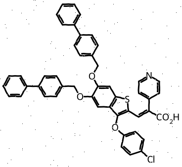 O=C(O)/C(=C/c1sc2cc(OCc3ccc(-c4ccccc4)cc3)c(OCc3ccc(-c4ccccc4)cc3)cc2c1Oc1ccc(Cl)cc1)c1ccncc1